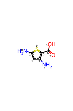 Nc1cc(N)c(C(=O)O)s1